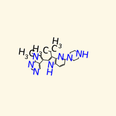 CC(C)c1c(-c2cn(C)c3ncncc23)[nH]c2ccc(N3CCNCC3)nc12